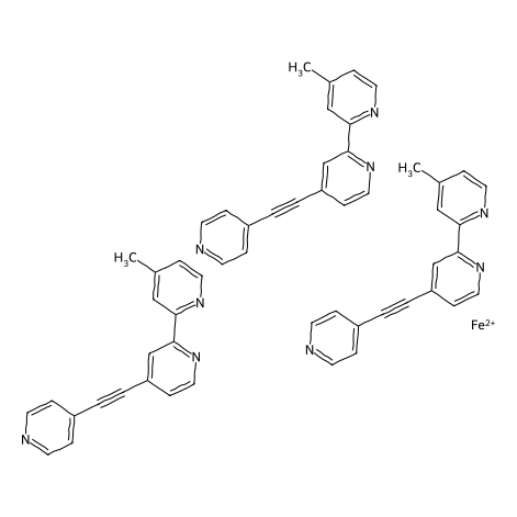 Cc1ccnc(-c2cc(C#Cc3ccncc3)ccn2)c1.Cc1ccnc(-c2cc(C#Cc3ccncc3)ccn2)c1.Cc1ccnc(-c2cc(C#Cc3ccncc3)ccn2)c1.[Fe+2]